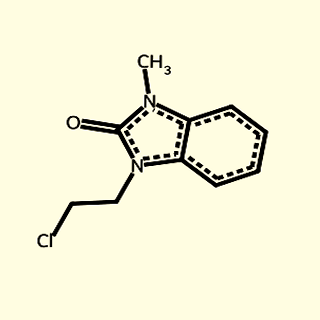 Cn1c(=O)n(CCCl)c2ccccc21